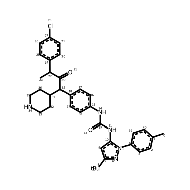 Cc1ccc(-n2nc(C(C)(C)C)cc2NC(=O)Nc2ccc(C(C(=O)C(C)c3ccc(Cl)cc3)C3CCNCC3)cc2)cc1